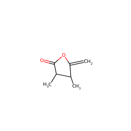 C=C1OC(=O)C(C)C1C